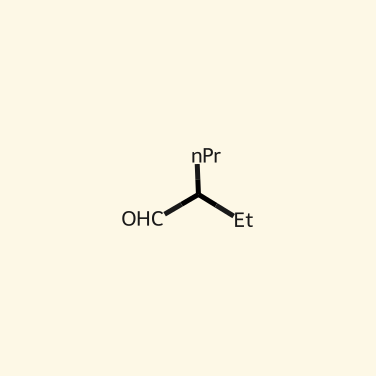 CCCC(C=O)CC